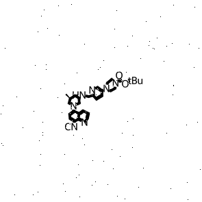 C[C@H]1C[C@@H](NCc2ccc(N3CCN(C(=O)OC(C)(C)C)CC3)cn2)CN(c2ccc(C#N)c3ncccc23)C1